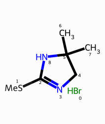 Br.CSC1=NCC(C)(C)N1